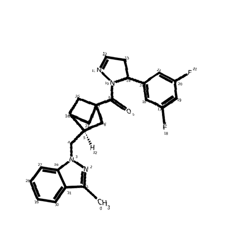 Cc1nn(C[C@@H]2CC3(C(=O)N4N=CCC4c4cc(F)cc(F)c4)CC2C3)c2ccccc12